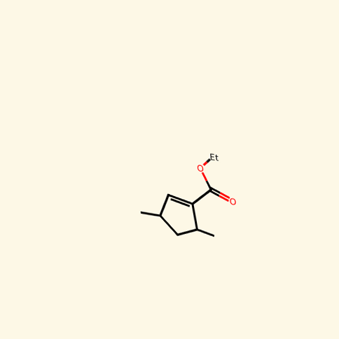 CCOC(=O)C1=CC(C)CC1C